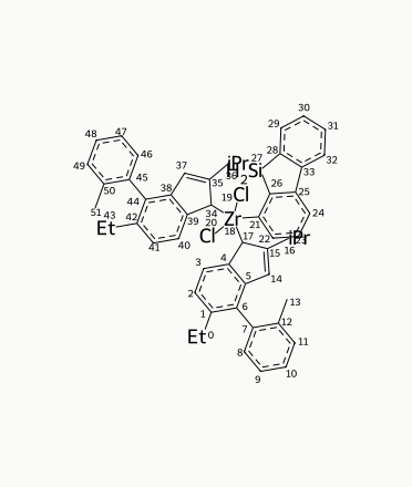 CCc1ccc2c(c1-c1ccccc1C)C=C(C(C)C)[CH]2[Zr]([Cl])([Cl])([c]1cccc2c1[SiH2]c1ccccc1-2)[CH]1C(C(C)C)=Cc2c1ccc(CC)c2-c1ccccc1C